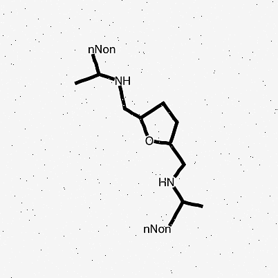 CCCCCCCCCC(C)NCC1CCC(CNC(C)CCCCCCCCC)O1